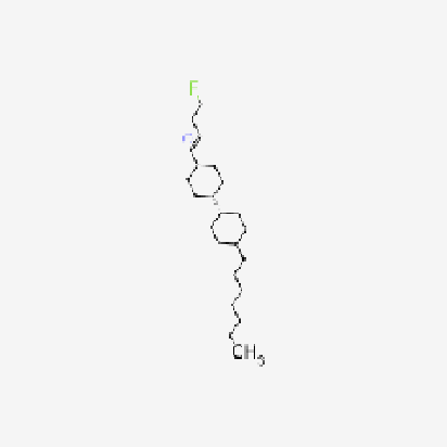 CCCCCCC[C@H]1CC[C@H](C2CCC(/C=C/CCF)CC2)CC1